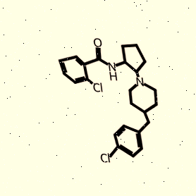 O=C(NC1CCCC1N1CCC(Cc2ccc(Cl)cc2)CC1)c1ccccc1Cl